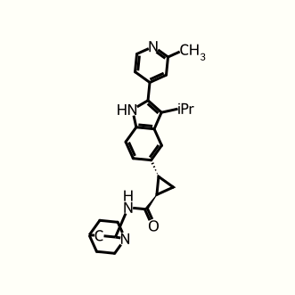 Cc1cc(-c2[nH]c3ccc([C@@H]4C[C@H]4C(=O)NC4CC5CCN4CC5)cc3c2C(C)C)ccn1